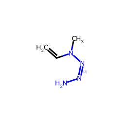 C=CN(C)/N=N\N